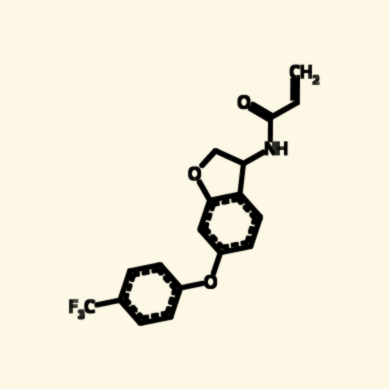 C=CC(=O)NC1COc2cc(Oc3ccc(C(F)(F)F)cc3)ccc21